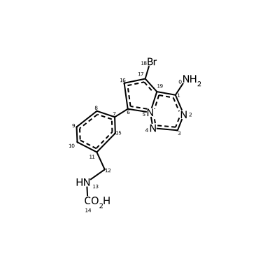 Nc1ncnn2c(-c3cccc(CNC(=O)O)c3)cc(Br)c12